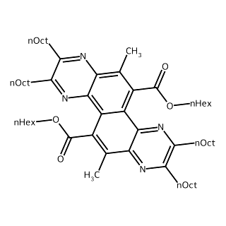 CCCCCCCCc1nc2c(C)c(C(=O)OCCCCCC)c3c4nc(CCCCCCCC)c(CCCCCCCC)nc4c(C)c(C(=O)OCCCCCC)c3c2nc1CCCCCCCC